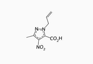 C=CCn1nc(C)c([N+](=O)[O-])c1C(=O)O